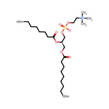 CCCCCCCCCCCCCCCCCC(=O)OC[C@H](COP(=O)([O-])OCC[N+](C)(C)C)OC(=O)CCCCCCCCCCCCCCCC